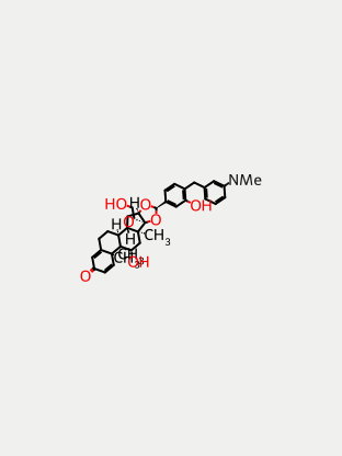 CNc1cccc(Cc2ccc([C@@H]3O[C@@H]4C[C@H]5[C@@H]6CCC7=CC(=O)C=C[C@]7(C)[C@@]6(C)[C@@H](O)C[C@]5(C)[C@]4(C(=O)CO)O3)cc2O)c1